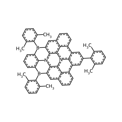 Cc1cccc(C)c1B1c2cccc3c2-n2c4c1cc1cccc5c6cc(-c7c(C)cccc7C)cc7c8cccc9cc(c2c(c98)n(c67)c4c15)B3c1c(C)cccc1C